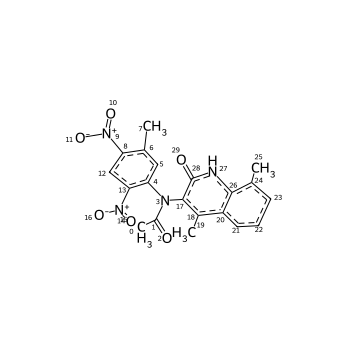 CC(=O)N(c1cc(C)c([N+](=O)[O-])cc1[N+](=O)[O-])c1c(C)c2cccc(C)c2[nH]c1=O